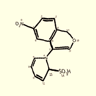 O=[N+]([O-])c1ccc2c(c1)C(N1C=CC=CC1S(=O)(=O)O)=COC2